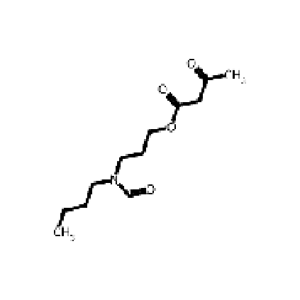 CCCCN(C=O)CCCOC(=O)CC(C)=O